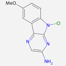 COc1ccc2c(c1)c1ncc(N)nc1n2Cl